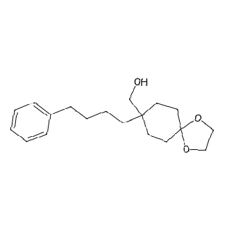 OCC1(CCCCc2ccccc2)CCC2(CC1)OCCO2